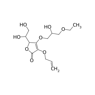 C=CCOC1=C(OCC(O)COCC)C(C(O)CO)OC1=O